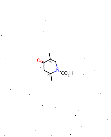 C[C@H]1CN(C(=O)O)[C@@H](C)CC1=O